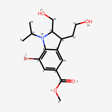 COC(=O)c1cc(Br)c2c(c1)C(CCO)C(CO)N2C(C)C